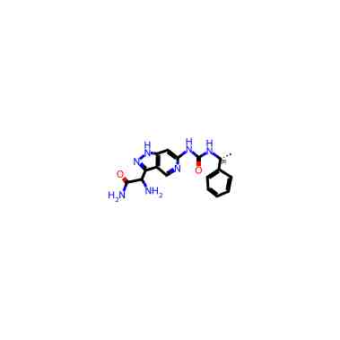 C[C@@H](NC(=O)Nc1cc2[nH]nc(C(N)C(N)=O)c2cn1)c1ccccc1